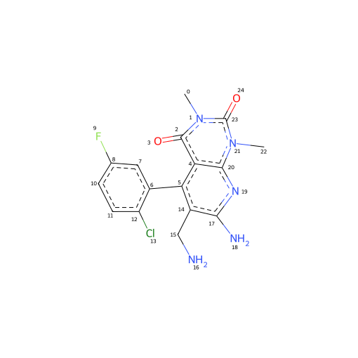 Cn1c(=O)c2c(-c3cc(F)ccc3Cl)c(CN)c(N)nc2n(C)c1=O